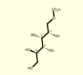 O=C(O)OC[C@H](O)[C@@H](O)[C@H](O)[C@H](O)CO